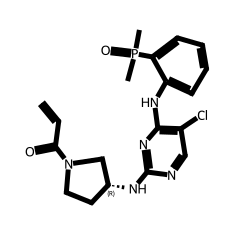 C=CC(=O)N1CC[C@@H](Nc2ncc(Cl)c(Nc3ccccc3P(C)(C)=O)n2)C1